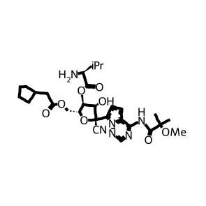 COC(C)(C)C(=O)Nc1ncnn2c([C@]3(C#N)O[C@H](COC(=O)CC4CCCC4)[C@@H](OC(=O)[C@@H](N)C(C)C)[C@H]3O)ccc12